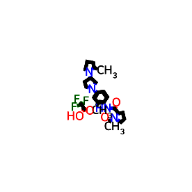 CC(=O)N1CCCC1C(=O)Nc1ccc(N2CCC(N3CCCC3C)C2)cc1C.O=C(O)C(F)(F)F